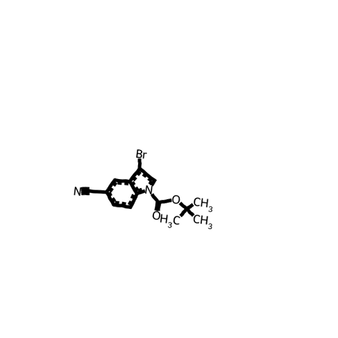 CC(C)(C)OC(=O)n1cc(Br)c2cc(C#N)ccc21